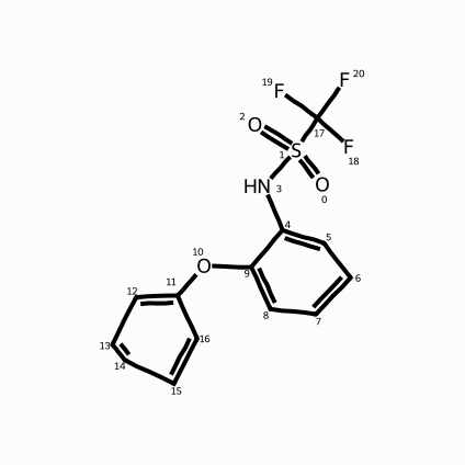 O=S(=O)(Nc1ccccc1Oc1ccccc1)C(F)(F)F